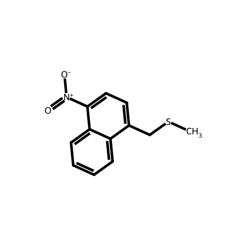 CSCc1ccc([N+](=O)[O-])c2ccccc12